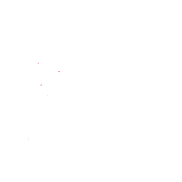 Cl.Cl.[CH2]=[Zr]([CH3])([C]1=CC(C(C)(C)C)=CC1CCC)([c]1ccccc1)[c]1c(-c2ccccc2)ccc2c1Cc1cc(-c3ccccc3)ccc1-2